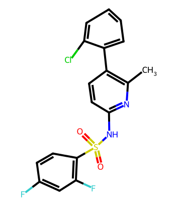 Cc1nc(NS(=O)(=O)c2ccc(F)cc2F)ccc1-c1ccccc1Cl